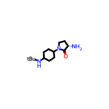 CC(C)(C)NC1CCC(N2CC[C@H](N)C2=O)CC1